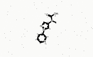 CN(C(=O)O)c1cnn(-c2cccnc2)c1